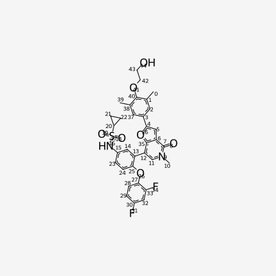 Cc1cc(-c2cc3c(=O)n(C)cc(-c4cc(NS(=O)(=O)C5CC5)ccc4Oc4ccc(F)cc4F)c3o2)cc(C)c1OCCO